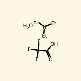 CCN(CC)CC.O.O=C(O)C(F)(F)F